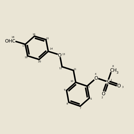 CS(=O)(=O)Oc1ccccc1CCOc1ccc(C=O)cc1